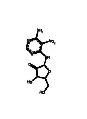 Nc1ncnc(NC2OC(CO)C(O)C2=O)c1[N+](=O)[O-]